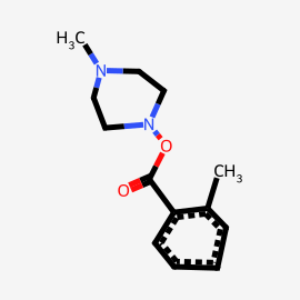 Cc1ccccc1C(=O)ON1CCN(C)CC1